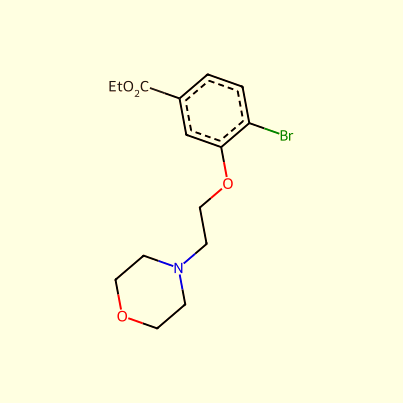 CCOC(=O)c1ccc(Br)c(OCCN2CCOCC2)c1